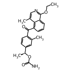 CCOc1ncc(C)c2c(C(=O)c3ccc([C@H](C)OC(N)=O)cc3C)cccc12